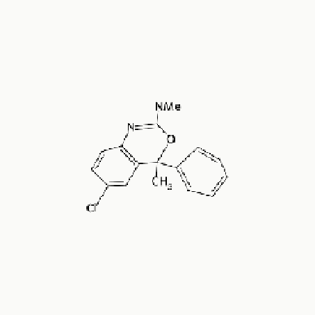 CNC1=Nc2ccc(Cl)cc2C(C)(c2ccccc2)O1